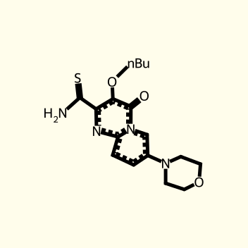 CCCCOc1c(C(N)=S)nc2ccc(N3CCOCC3)cn2c1=O